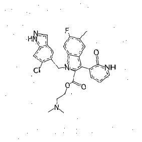 Cc1cc2c(-c3ccc[nH]c3=O)c(C(=O)OCCN(C)C)n(Cc3cc4cn[nH]c4cc3Cl)c2cc1F